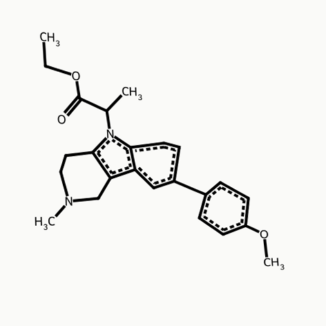 CCOC(=O)C(C)n1c2c(c3cc(-c4ccc(OC)cc4)ccc31)CN(C)CC2